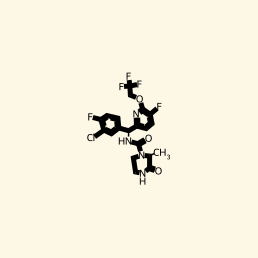 C[C@@H]1C(=O)NCCN1C(=O)N[C@H](c1ccc(F)c(Cl)c1)c1ccc(F)c(OCC(F)(F)F)n1